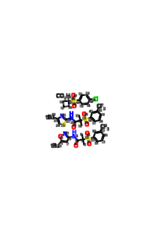 CC(C)(C)c1cc(NC(=O)C(C)(C)S(=O)(=O)c2cccc(C(F)(F)F)c2)no1.CC(C)(C)c1csc(NC(=O)C(C)(C)S(=O)(=O)c2cccc(C(F)(F)F)c2)n1.O=C(O)C1(S(=O)(=O)c2ccc(Cl)cc2)CCC1